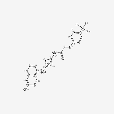 O=C(COc1ccc(C(F)(F)F)nc1)NC12CC(Nc3ccnc4cc(Cl)ccc34)(C1)C2